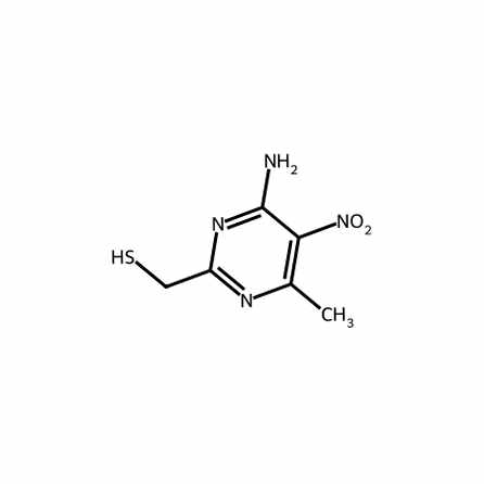 Cc1nc(CS)nc(N)c1[N+](=O)[O-]